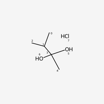 CC(C)C(C)(O)O.Cl